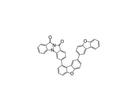 O=c1c2ccccc2n2c3cc(-c4cccc5oc6ccc(-c7ccc8oc9ccccc9c8c7)cc6c45)ccc3c(=O)n12